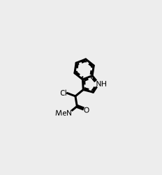 CNC(=O)C(Cl)c1c[nH]c2ccccc12